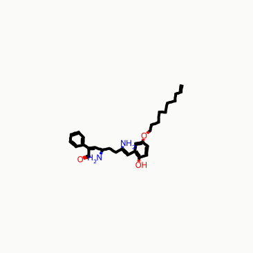 C=CCCCCCCCCOc1ccc(O)c(C=C(N)CCC(N)C=C(C=O)c2ccccc2)c1